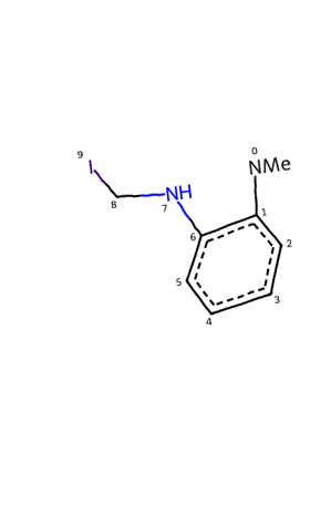 CNc1ccccc1NCI